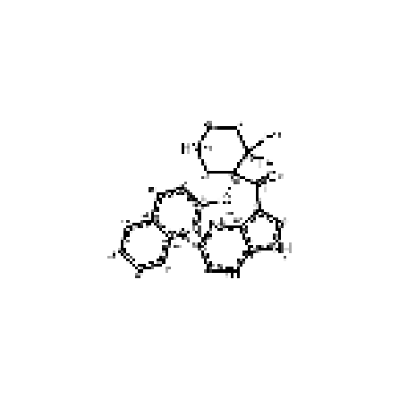 O=C(c1c[nH]c2nccnc12)[C@@]1(Oc2ccc3ccccc3n2)CNCCC1(F)F